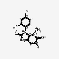 Cn1c(=O)c(F)cc2[nH]c(=O)n(-c3ccc(I)cc3F)c21